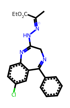 CCOC(=O)/C(C)=N\NC1=Nc2ccc(Cl)cc2C(c2ccccc2)=NC1